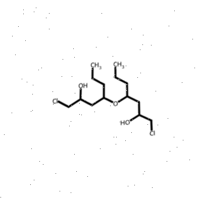 CCCC(CC(O)CCl)OC(CCC)CC(O)CCl